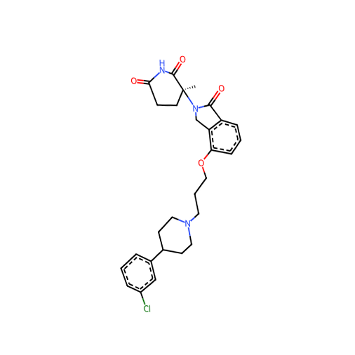 C[C@]1(N2Cc3c(OCCCN4CCC(c5cccc(Cl)c5)CC4)cccc3C2=O)CCC(=O)NC1=O